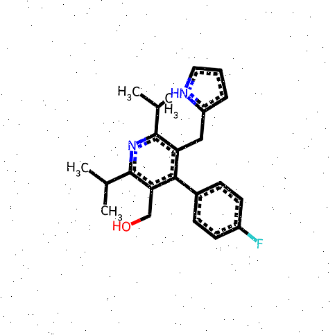 CC(C)c1nc(C(C)C)c(Cc2ccc[nH]2)c(-c2ccc(F)cc2)c1CO